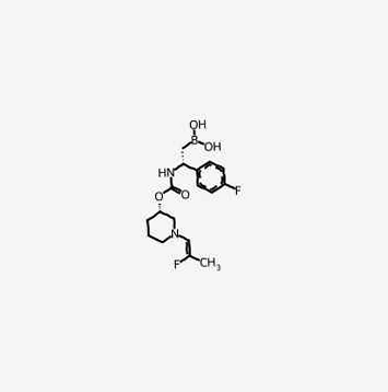 CC(F)=CN1CCC[C@H](OC(=O)N[C@H](CB(O)O)c2ccc(F)cc2)C1